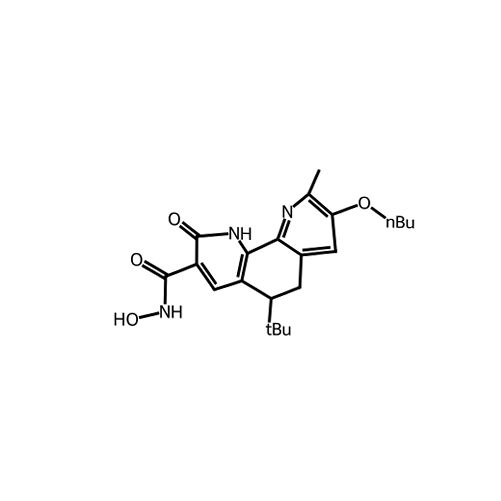 CCCCOc1cc2c(nc1C)-c1[nH]c(=O)c(C(=O)NO)cc1C(C(C)(C)C)C2